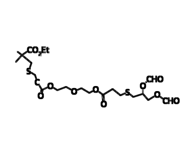 CCOC(=O)C(C)(C)CSCCC(=O)OCCOCCOC(=O)CCSCC(COC=O)OC=O